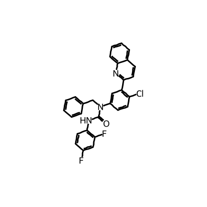 O=C(Nc1ccc(F)cc1F)N(Cc1ccccc1)c1ccc(Cl)c(-c2ccc3ccccc3n2)c1